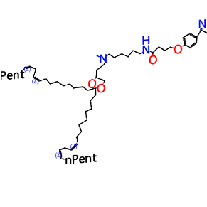 CCCCC/C=C\C/C=C\CCCCCCCCC1(CCCCCCCC/C=C\C/C=C\CCCCC)OCC(CCN(C)CCCCCCNC(=O)CCCOc2ccc(C(C)=N)cc2)O1